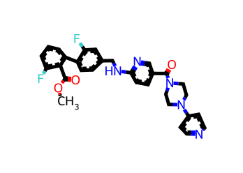 COC(=O)c1c(F)cccc1-c1ccc(CNc2ccc(C(=O)N3CCN(c4ccncc4)CC3)cn2)cc1F